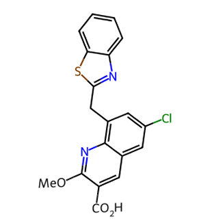 COc1nc2c(Cc3nc4ccccc4s3)cc(Cl)cc2cc1C(=O)O